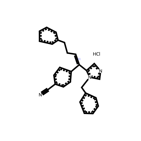 Cl.N#Cc1ccc(/C(=C\CCc2ccccc2)c2cncn2Cc2ccccc2)cc1